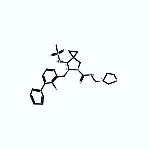 CS(=O)(=O)N[C@@H]1[C@H](Cc2cccc(-c3ccccc3)c2F)N(C(=O)NC[C@H]2CCOC2)CC12CC2